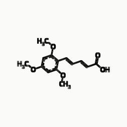 COc1cc(OC)c(/C=C/C=C/C(=O)O)c(OC)c1